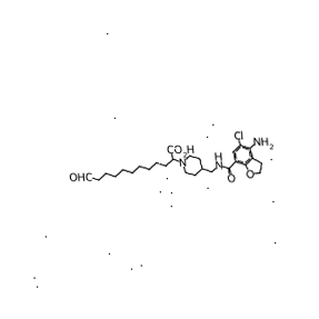 Nc1c(Cl)cc(C(=O)NCC2CCN(C(CCCCCCCCCC=O)C(=O)O)CC2)c2c1CCO2